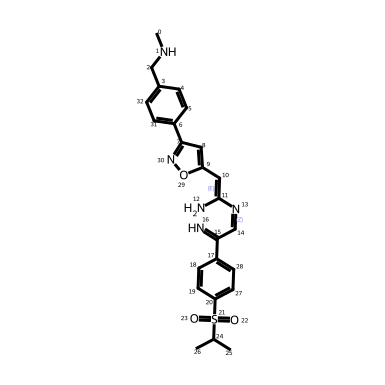 CNCc1ccc(-c2cc(/C=C(N)/N=C\C(=N)c3ccc(S(=O)(=O)C(C)C)cc3)on2)cc1